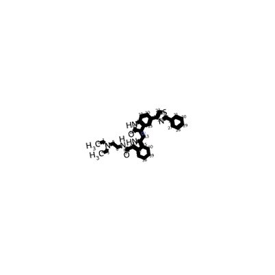 CCN(CC)CCNC(=O)c1[nH]c(/C=C2\C(=O)Nc3ccc(-c4csc(-c5ccccc5)n4)cc32)c2c1CCCC2